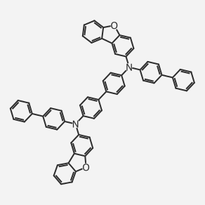 c1ccc(-c2ccc(N(c3ccc(-c4ccc(N(c5ccc(-c6ccccc6)cc5)c5ccc6oc7ccccc7c6c5)cc4)cc3)c3ccc4oc5ccccc5c4c3)cc2)cc1